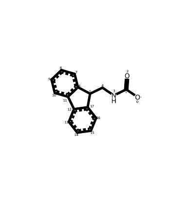 [O]C(=O)NCC1c2ccccc2-c2ccccc21